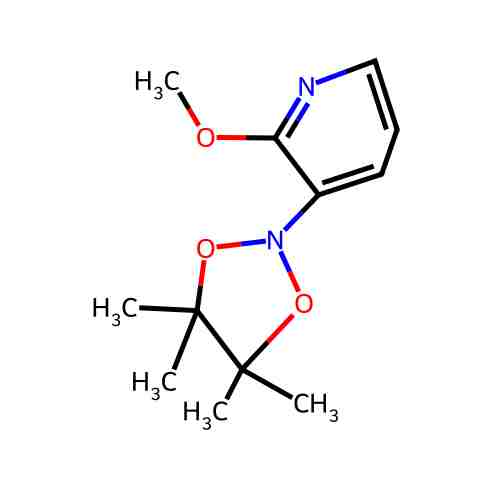 COc1ncccc1N1OC(C)(C)C(C)(C)O1